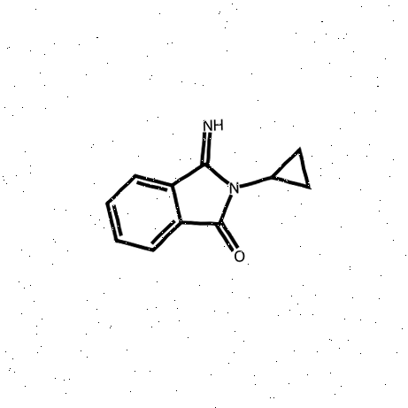 N=C1c2ccccc2C(=O)N1C1CC1